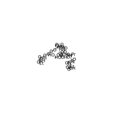 CCC(=O)N[C@@H](C)C(=O)NCCOCCOCCOCCOCCC(=O)N[C@H](C(=O)N[C@@H](C)C(=O)Nc1ccc(COC(=O)N(CCc2c3c(nc4ccccc24)-c2cc4c(c(=O)n2C3)COC(=O)[C@]4(O)CC)C(C)C)cc1O[C@@H]1O[C@H](C(=O)O)[C@@H](O)[C@H](O)[C@H]1O)C(C)C